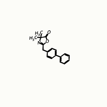 CC1(C)N=C(Cc2ccc(-c3ccccc3)cc2)OC1=O